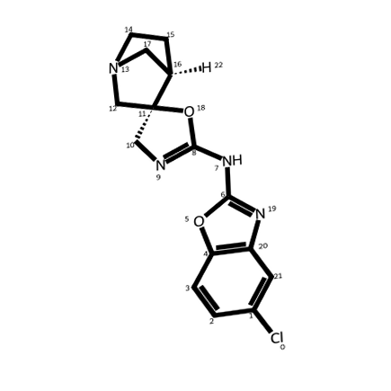 Clc1ccc2oc(NC3=NC[C@@]4(CN5CC[C@@H]4C5)O3)nc2c1